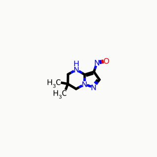 CC1(C)CNc2c(N=O)cnn2C1